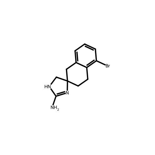 NC1=NC2(CCc3c(Br)cccc3C2)CN1